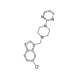 Clc1ccc2scc(CN3CCN(c4ncccn4)CC3)c2c1